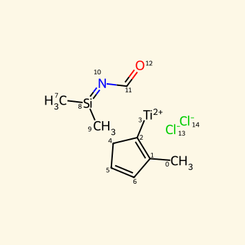 CC1=[C]([Ti+2])CC=C1.C[Si](C)=NC=O.[Cl-].[Cl-]